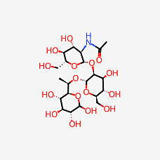 CC(=O)N[C@H]1[C@H](O[C@@H]2[C@@H](O[C@H](C)[C@H]3OC(O)[C@H](O)[C@@H](O)[C@@H]3O)O[C@H](CO)[C@@H](O)[C@@H]2O)O[C@H](CO)[C@@H](O)[C@@H]1O